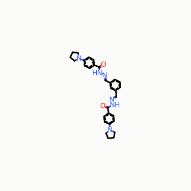 O=C(N/N=C/c1cccc(/C=N/NC(=O)c2ccc(N3CCCC3)cc2)c1)c1ccc(N2CCCC2)cc1